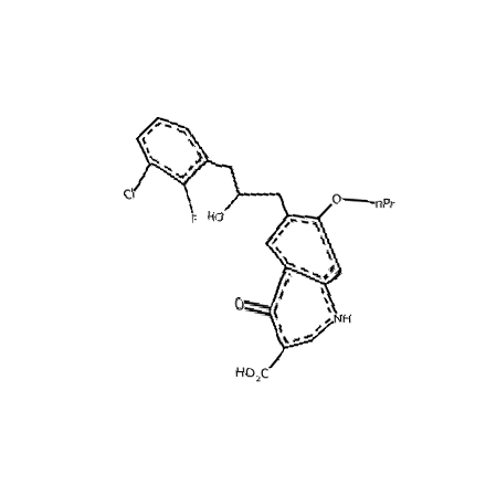 CCCOc1cc2[nH]cc(C(=O)O)c(=O)c2cc1CC(O)Cc1cccc(Cl)c1F